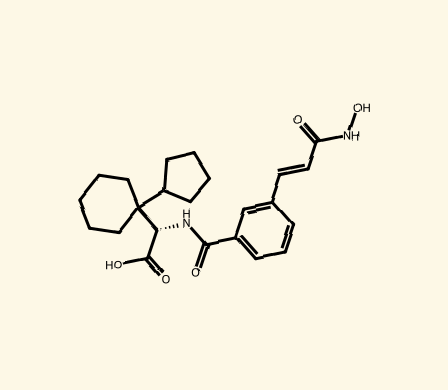 O=C(C=Cc1cccc(C(=O)N[C@H](C(=O)O)C2(C3CCCC3)CCCCC2)c1)NO